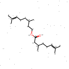 CC(C)=CCCC(C)CCOC(=O)CC(C)CCC=C(C)C